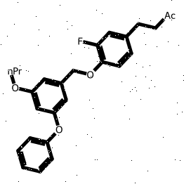 CCCOc1cc(COc2ccc(CCC(C)=O)cc2F)cc(Oc2ccccc2)c1